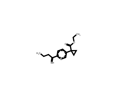 CCCC(=N)c1ccc(C2(C(=O)OCC)CC2)cn1